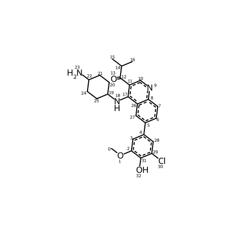 COc1cc(-c2ccc3ncc(C(=O)C(C)C)c(NC4CCC(N)CC4)c3c2)cc(Cl)c1O